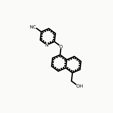 N#Cc1ccc(Oc2cccc3c(CO)cccc23)nc1